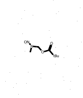 CN(COC(=O)C(C)(C)C)N=O